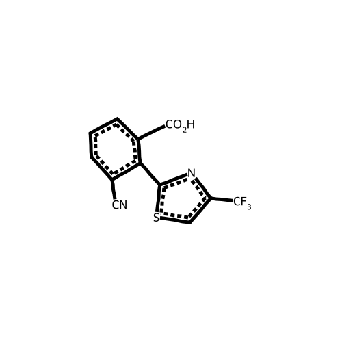 N#Cc1cccc(C(=O)O)c1-c1nc(C(F)(F)F)cs1